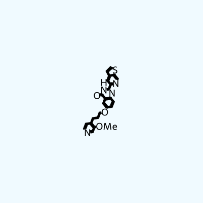 COc1cnccc1CCCOc1ccc2nc(-c3cc4ccsc4cn3)[nH]c(=O)c2c1